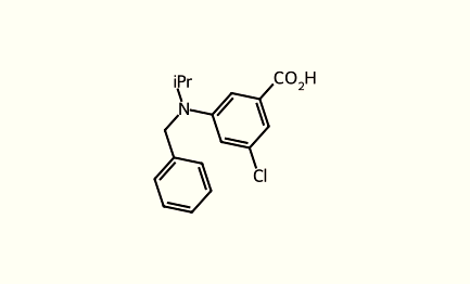 CC(C)N(Cc1ccccc1)c1cc(Cl)cc(C(=O)O)c1